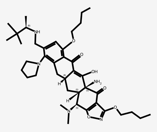 CCCCOc1cc(CN[C@H](C)C(C)(C)C)c(N2CCCC2)c2c1C(=O)C1=C(O)[C@]3(N)C(=O)c4c(OCCCC)noc4[C@@H](N(C)C)[C@@H]3C[C@@H]1C2